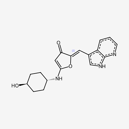 O=C1C=C(N[C@H]2CC[C@H](O)CC2)O/C1=C\c1c[nH]c2ncccc12